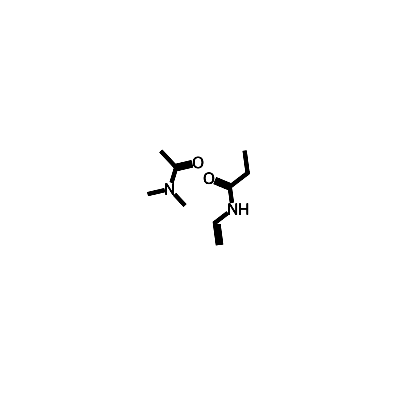 C=CNC(=O)CC.CC(=O)N(C)C